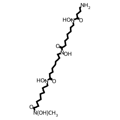 CN(O)C(=O)CCCCCCCN(O)C(=O)CCCCCCCN(O)C(=O)CCCCCCCN(O)C(=O)CCCN